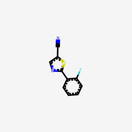 N#Cc1cnc(-c2ccccc2F)s1